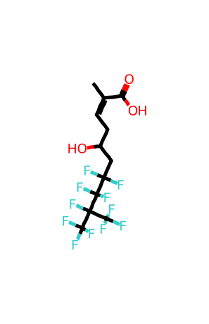 CC(=CCC(O)CC(F)(F)C(F)(F)C(F)(C(F)(F)F)C(F)(F)F)C(=O)O